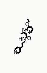 CCOc1cccn2c(C(=O)NCCCc3ccncc3)c(C)nc12